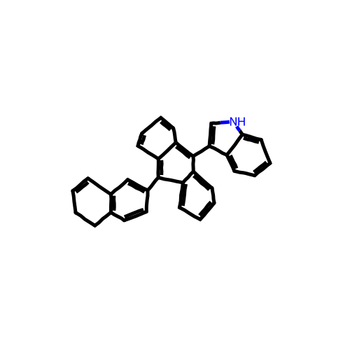 C1=Cc2cc(-c3c4ccccc4c(-c4c[nH]c5ccccc45)c4ccccc34)ccc2CC1